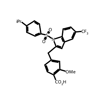 COc1cc(Cc2cc3cc(C(F)(F)F)ccc3n2S(=O)(=O)c2ccc(C(C)C)cc2)ccc1C(=O)O